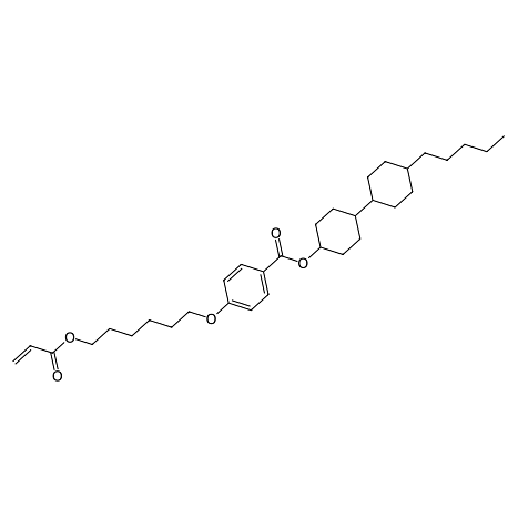 C=CC(=O)OCCCCCCOc1ccc(C(=O)OC2CCC(C3CCC(CCCCC)CC3)CC2)cc1